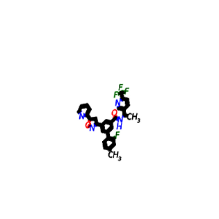 Cc1ccc(-c2cc(C(=O)NC(C)c3ccc(C(F)(F)F)nc3)cc(C3=NOC(c4ccccn4)C3)c2)c(F)c1